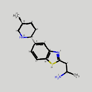 CC(N)Cc1nc2cc([C@H]3CC[C@H](C)CN3)ccc2s1